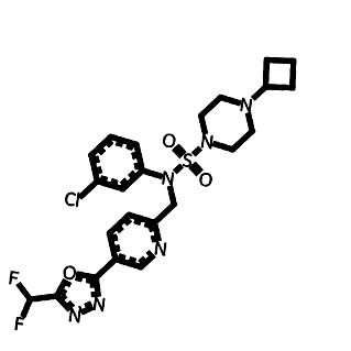 O=S(=O)(N1CCN(C2CCC2)CC1)N(Cc1ccc(-c2nnc(C(F)F)o2)cn1)c1cccc(Cl)c1